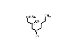 C=CCCN(CC)C[C@H](O)CNC(C)=O